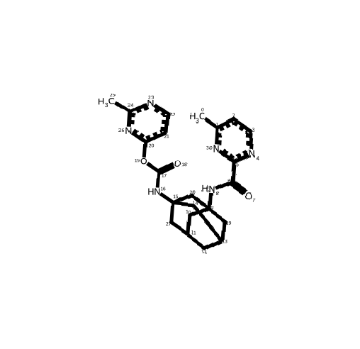 Cc1ccnc(C(=O)NC23CC4CC(CC(NC(=O)Oc5ccnc(C)n5)(C4)C2)C3)n1